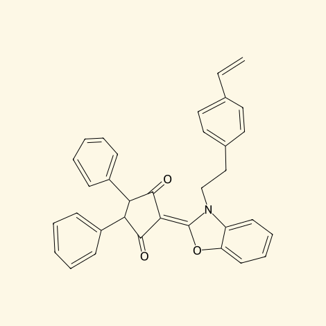 C=Cc1ccc(CCN2C(=C3C(=O)C(c4ccccc4)C(c4ccccc4)C3=O)Oc3ccccc32)cc1